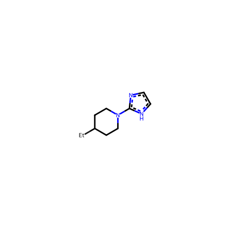 [CH2]CC1CCN(c2ncc[nH]2)CC1